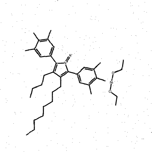 CCCCCCCCC1=C(c2cc(C)c(C)c(C)c2)[N+](=[N-])C(c2cc(C)c(C)c(C)c2)=C1CCCC.CC[O][Ni][O]CC